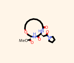 COC(=O)[C@@H]1COCCCCCCCCC(=O)N[C@@H](CC(=O)N2CCCC2)C(=O)N1